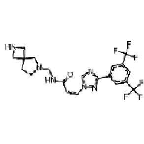 O=C(/C=C\n1cnc(-c2cc(C(F)(F)F)cc(C(F)(F)F)c2)n1)NCN1CCC2(CNC2)C1